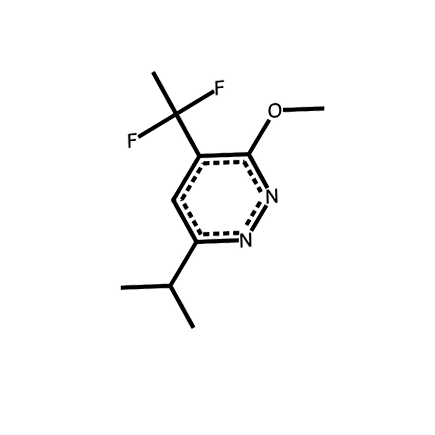 COc1nnc(C(C)C)cc1C(C)(F)F